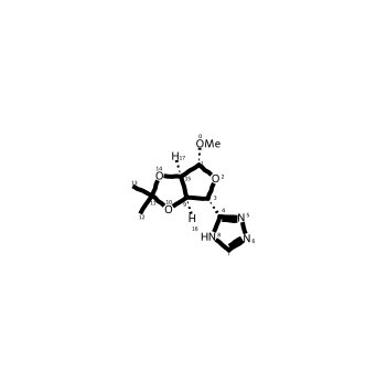 CO[C@@H]1O[C@H](c2nnc[nH]2)[C@H]2OC(C)(C)O[C@@H]12